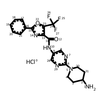 Cl.NC1CCN(c2ncc(NC(=O)c3nc(-c4ccccc4)oc3C(F)(F)F)cn2)CC1